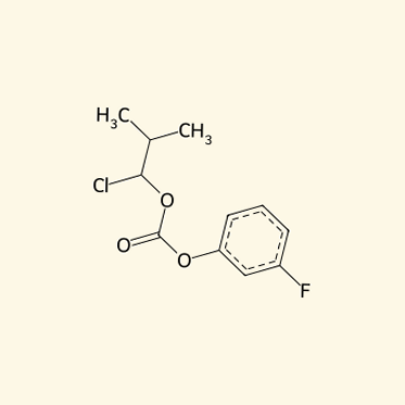 CC(C)C(Cl)OC(=O)Oc1cccc(F)c1